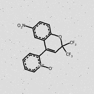 O=[N+]([O-])c1ccc2c(c1)C(c1cccc[n+]1[O-])=CC(C(F)(F)F)(C(F)(F)F)O2